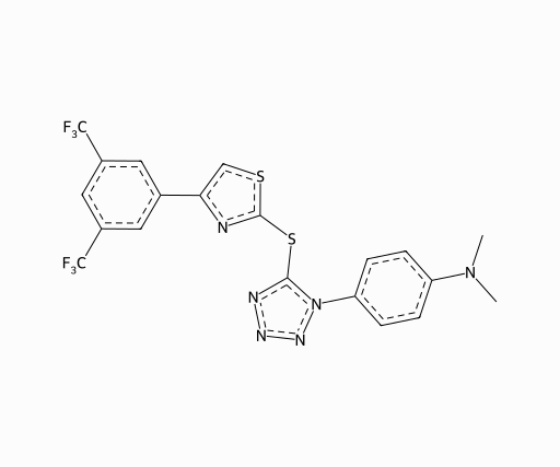 CN(C)c1ccc(-n2nnnc2Sc2nc(-c3cc(C(F)(F)F)cc(C(F)(F)F)c3)cs2)cc1